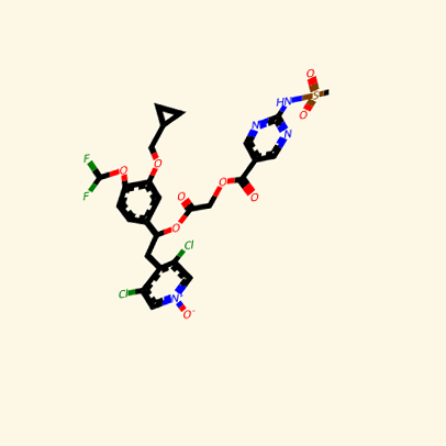 CS(=O)(=O)Nc1ncc(C(=O)OCC(=O)OC(Cc2c(Cl)c[n+]([O-])cc2Cl)c2ccc(OC(F)F)c(OCC3CC3)c2)cn1